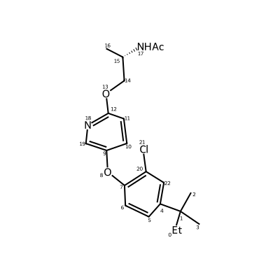 CCC(C)(C)c1ccc(Oc2ccc(OC[C@H](C)NC(C)=O)nc2)c(Cl)c1